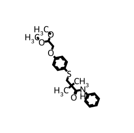 COC(COc1ccc(SCC(C)(C)C(=O)Nc2ccccc2)cc1)OC